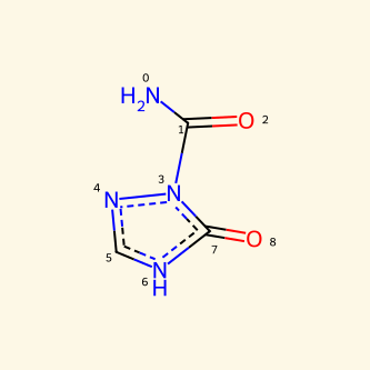 NC(=O)n1nc[nH]c1=O